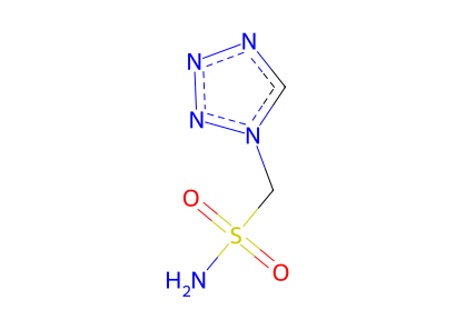 NS(=O)(=O)Cn1cnnn1